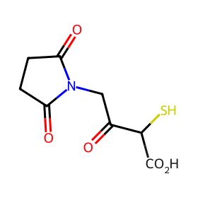 O=C(O)C(S)C(=O)CN1C(=O)CCC1=O